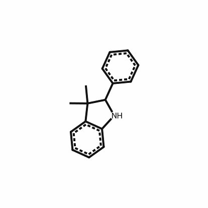 CC1(C)c2ccccc2NC1c1ccccc1